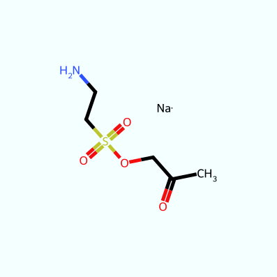 CC(=O)COS(=O)(=O)CCN.[Na]